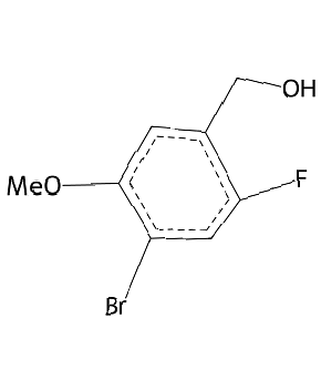 COc1cc(CO)c(F)cc1Br